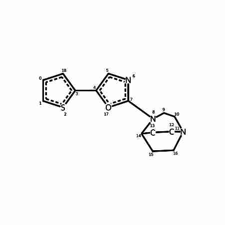 c1csc(-c2cnc(N3CCN4CCC3CC4)o2)c1